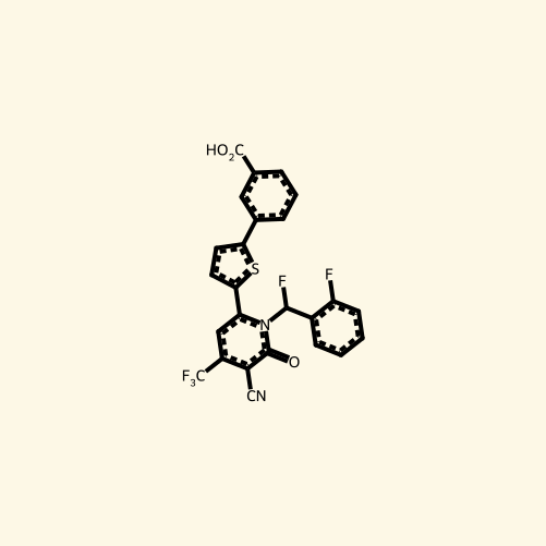 N#Cc1c(C(F)(F)F)cc(-c2ccc(-c3cccc(C(=O)O)c3)s2)n(C(F)c2ccccc2F)c1=O